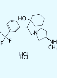 CN[C@@H]1CCN(CC(c2cccc(C(F)(F)F)c2)C2(O)CCCCC2)C1.Cl.Cl